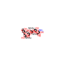 CC(=O)NC1C(O)[C@H](O[C@@H]2OC(CO)[C@@H](O)C(O)C2N)C(CO)O[C@H]1O[C@@H]1C(CO)O[C@@H](O[C@@H]2C(CO)O[C@@H](O[C@@H]3C(CO[C@@H]4OC5O[C@H]5C(O)C4O)O[C@@H](O)C(NC(C)=O)C3O)C(NC(C)=O)C2O)C(NC(C)=O)C1O